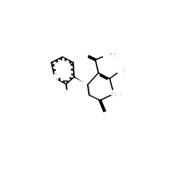 COC(=O)C1=C(C)NC(=O)C[C@H]1c1cccnc1Cl